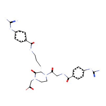 N=C(N)Nc1ccc(C(=O)NCCC[C@H]2C(=O)N(CC(=O)O)CCN2C(=O)CNC(=O)c2ccc(NC(=N)N)cc2)cc1